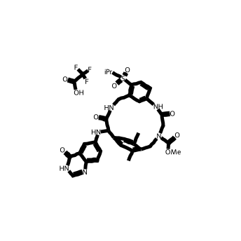 COC(=O)N1CC(=O)Nc2ccc(S(=O)(=O)C(C)C)c(c2)CNC(=O)C(Nc2ccc3nc[nH]c(=O)c3c2)c2cc(C)c(c(C)c2)C1.O=C(O)C(F)(F)F